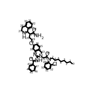 CCCCCCCCN(C(=O)CN1Cc2ccc(OCCC(C(N)=O)C3NCCc4ccccc43)cc2N=C1NC(=O)c1ccccc1)c1ccccc1Cl